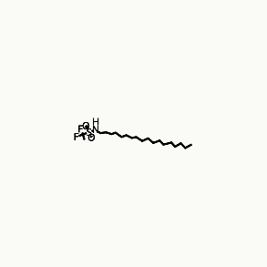 CCCCCCCCCCCCCCCCCCNS(=O)(=O)C(C)(F)F